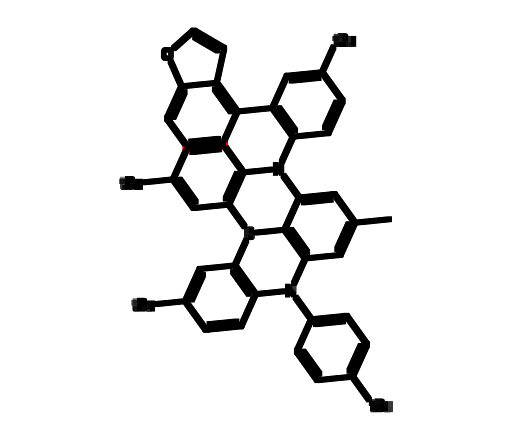 Cc1cc2c3c(c1)N(c1ccc(C(C)(C)C)cc1-c1cccc4occc14)c1ccc(C(C)(C)C)cc1B3c1cc(C(C)(C)C)ccc1N2c1ccc(C(C)(C)C)cc1